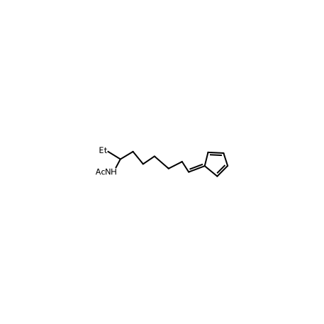 CCC(CCCCCC=C1C=CC=C1)NC(C)=O